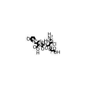 COc1ccc[n+](CC2=C(C(=O)O)N3C(=O)[C@@H](NC(=O)/C(=N\O[C@@H](C)C(=O)O)c4nc(N)sc4Cl)[C@H]3SC2)c1